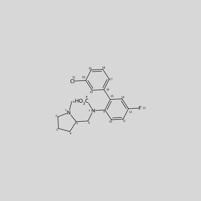 CN1CCCC1CN(C(=O)O)c1ccc(F)cc1-c1cccc(Cl)c1